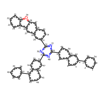 c1ccc(-c2ccc3cc(-c4nc(-c5ccc6cc7oc8ccccc8c7cc6c5)nc(-c5ccc6c(-c7ccccc7)cccc6c5)n4)ccc3c2)cc1